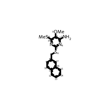 COc1c(N)nc(SCc2ccc3ccccc3c2)nc1SC